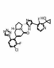 O=C1C=C(c2c(-n3cnnn3)ccc(Cl)c2F)C[C@H]2CC[C@H](c3ncc(-c4ccnc(C5(O)CC5)c4F)[nH]3)N12